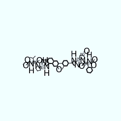 COC[C@H]1C[C@@H](c2ncc(-c3ccc4c(c3)COc3cc5c(ccc6nc([C@@H]7CCCN7C(O)[C@@H](NC(=O)OC)C(C)C)[nH]c65)cc3-4)[nH]2)N(C(=O)[C@H](NC(=O)OC)c2ccccc2)C1